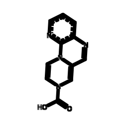 O=C(O)N1C=CN2C(=C1)C=Nc1cccnc12